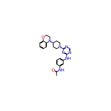 CC(=O)Nc1cccc(Nc2ncnc(N3CCC(N4CCOc5ccccc54)CC3)n2)c1